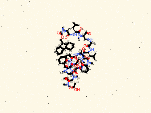 CC(C)C[C@H](NC(=O)[C@H](C)N(C)C(=O)OCC1c2ccccc2-c2ccccc21)C(=O)N(C)C(C=O)CN[C@@H](C)C(=O)N[C@@H](CC(C)C)C(=O)N(C)[C@@H](Cc1ccccc1)C(=O)N(C)[C@@H](C)C(=O)NCC(=O)N(C)[C@@H](Cc1ccccc1)C(=O)N1CCC[C@H]1C(=O)N[C@@H](C)C(=O)N(C)[C@@H](CC(C)C)C(=O)NCC(=O)N(C)[C@H](C(=O)N(C)[C@H](CC(=O)O)C(=O)N(C)C)C(C)C